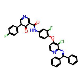 O=C(Nc1ccc(Oc2ccnc(N=C(c3ccccc3)c3ccccc3)c2Cl)c(F)c1)C1=CN=CC(c2ccc(F)cc2)C1=O